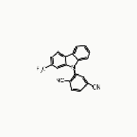 N#Cc1ccc(C#N)c(-n2c3ccccc3c3ccc(C(F)(F)F)cc32)c1